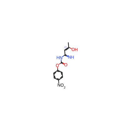 C/C(O)=C/C(=N)NC(=O)Oc1ccc([N+](=O)[O-])cc1